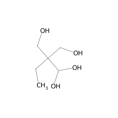 CCC(CO)(CO)C(O)O